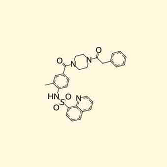 Cc1cc(C(=O)N2CCN(C(=O)Cc3ccccc3)CC2)ccc1NS(=O)(=O)c1cccc2cccnc12